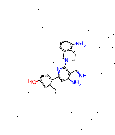 CCc1cc(O)ccc1-c1cc(N)c(C=N)c(N2CCc3c(N)cccc3C2)n1